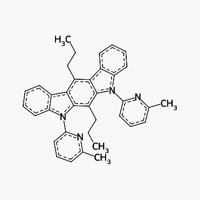 CCCc1c2c3ccccc3n(-c3cccc(C)n3)c2c(CCC)c2c1c1ccccc1n2-c1cccc(C)n1